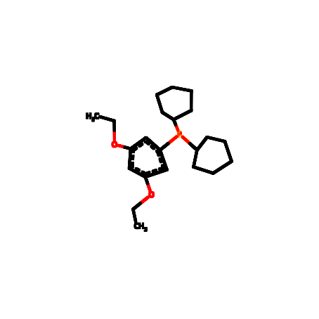 CCOc1cc(OCC)cc(P(C2CCCCC2)C2CCCCC2)c1